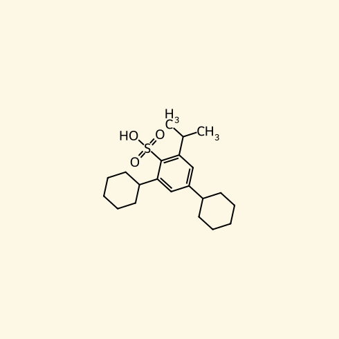 CC(C)c1cc(C2CCCCC2)cc(C2CCCCC2)c1S(=O)(=O)O